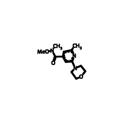 CON(C)C(=O)c1cc(C)nc(N2CCOCC2)c1